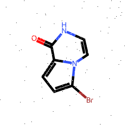 O=c1[nH]ccn2c(Br)ccc12